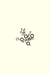 Cc1ccc(CC(NC(=O)Nc2cccc(F)c2)(c2cc(F)cc(OC(F)(F)C(F)F)c2)c2ccc(Cl)cn2)cc1